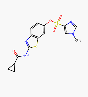 Cn1cnc(S(=O)(=O)Oc2ccc3nc(NC(=O)C4CC4)sc3c2)c1